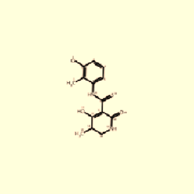 Cc1c(Cl)cccc1NC(=S)C1=C(O)C(C)CNC1=O